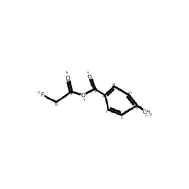 Cc1ccc(C(=O)OC(=O)CF)cc1